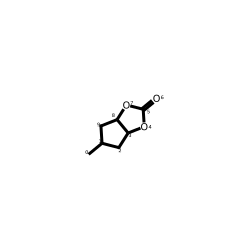 CC1CC2OC(=O)OC2C1